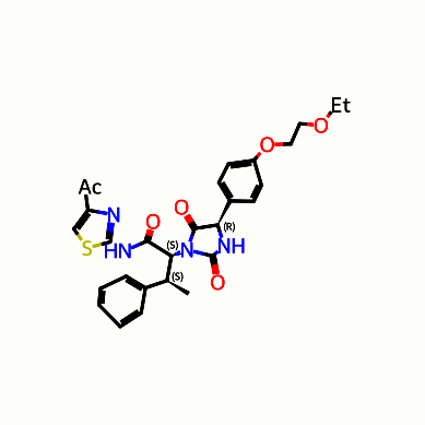 CCOCCOc1ccc([C@H]2NC(=O)N([C@H](C(=O)Nc3nc(C(C)=O)cs3)[C@@H](C)c3ccccc3)C2=O)cc1